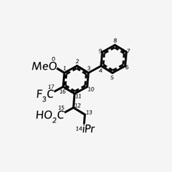 COc1cc(-c2ccccc2)cc(C(CC(C)C)C(=O)O)c1C(F)(F)F